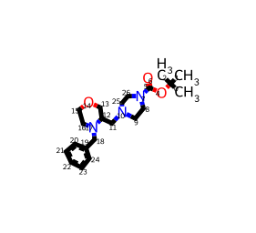 CC(C)(C)OC(=O)N1CCN(CC2COCCN2Cc2ccccc2)CC1